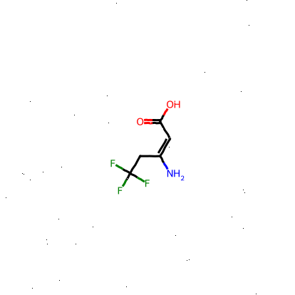 N/C(=C/C(=O)O)CC(F)(F)F